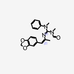 CC(=C/c1ccc2c(c1)OCO2)/N=C(\N(C)C=O)N(C)c1ccccc1